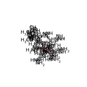 CC(=O)N[C@H](CSSCCOC(=O)OCC1=C[C@H]2[C@H]3C(C)(C)[C@]3(OC(C)=O)C[C@@H](C)[C@]2(O)[C@@H]2C=C(C)C(=O)[C@@]2(O)C1)C(=O)C[C@H](CCCNC(=N)N)C(=O)C[C@H](CCCNC(=N)N)C(=O)C[C@H](CCCNC(=N)N)C(=O)C[C@H](CCCNC(=N)N)C(=O)C[C@H](CCCNC(=N)N)C(=O)C[C@H](CCCNC(=N)N)C(=O)C[C@H](CCCNC(=N)N)C(=O)C[C@H](CCCNC(=N)N)C(N)=O